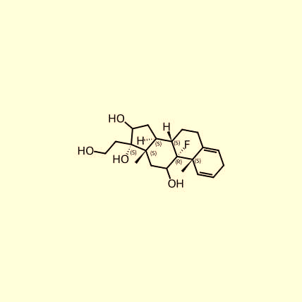 C[C@]12C=CCC=C1CC[C@H]1[C@@H]3CC(O)[C@](O)(CCO)[C@@]3(C)CC(O)[C@@]12F